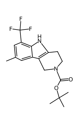 Cc1cc(C(F)(F)F)c2[nH]c3c(c2c1)CN(C(=O)OC(C)(C)C)CC3